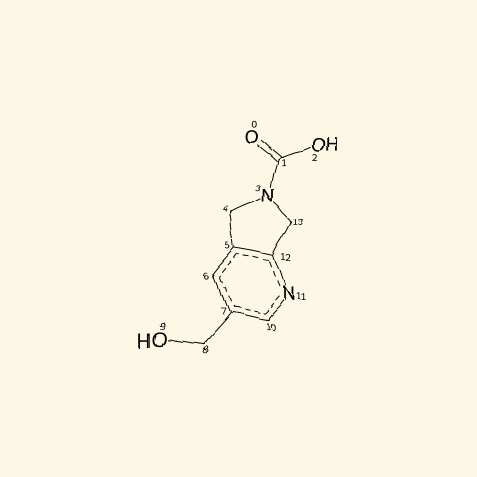 O=C(O)N1Cc2cc(CO)cnc2C1